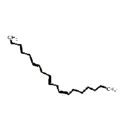 [CH2]CCCCC/C=C\CC=CCC=CCCCCC